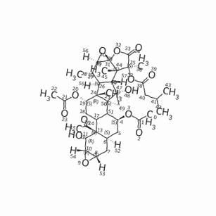 CC(=O)O[C@H]1C[C@H]2C[C@@H]3O[C@@H]3[C@H](O)[C@]2(C(C)=O)C2C[C@H](OC(C)=O)[C@]3(C)[C@H]4[C@H](C)[C@H]5O[C@]56OC(=O)[C@@](C)(OC(=O)CC(C)C)[C@]6(C)[C@@H]4[C@@]4(O)C[C@]34C21